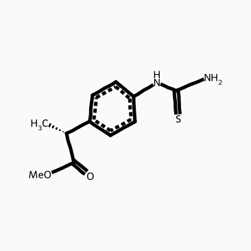 COC(=O)[C@H](C)c1ccc(NC(N)=S)cc1